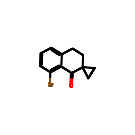 O=C1c2c(Br)cccc2CCC12CC2